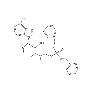 COC(C(O)C(F)C(C)COP(=O)(OCc1ccccc1)OCc1ccccc1)n1cnc2c(N)ncnc21